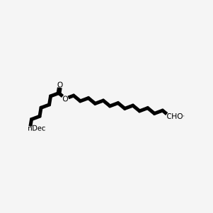 CCCCCCCCCCCCCCCC(=O)OCCCCCCCCCCCCC[C]=O